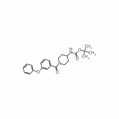 CC(C)(C)OC(=O)NC1CCN(C(=O)c2cccc(Oc3ccccc3)c2)CC1